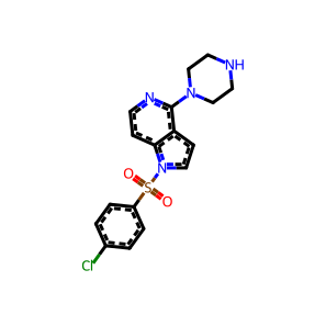 O=S(=O)(c1ccc(Cl)cc1)n1ccc2c(N3CCNCC3)nccc21